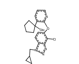 OC1(c2cccnc2Oc2ccc3c(nnn3CC3CC3)c2Cl)CCCC1